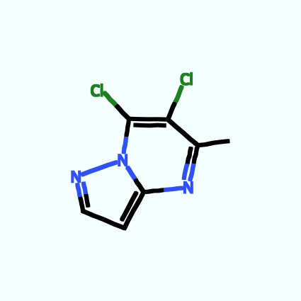 Cc1nc2ccnn2c(Cl)c1Cl